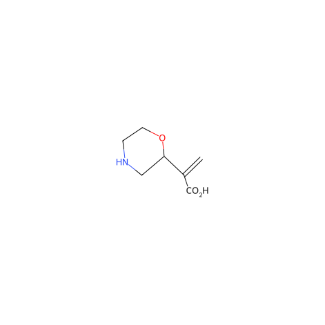 C=C(C(=O)O)C1CNCCO1